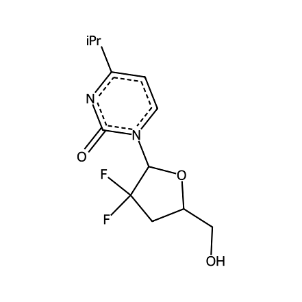 CC(C)c1ccn(C2OC(CO)CC2(F)F)c(=O)n1